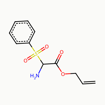 C=CCOC(=O)C(N)S(=O)(=O)c1ccccc1